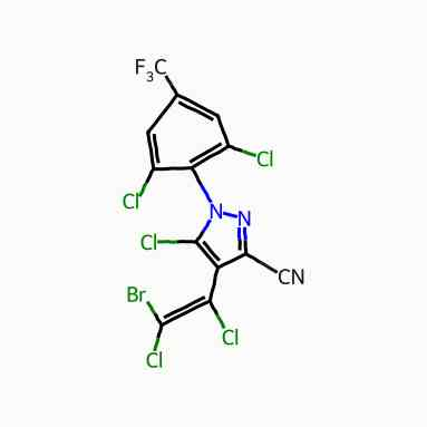 N#Cc1nn(-c2c(Cl)cc(C(F)(F)F)cc2Cl)c(Cl)c1C(Cl)=C(Cl)Br